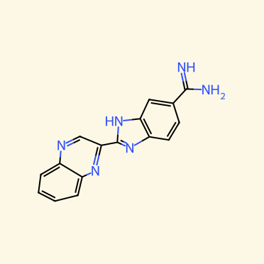 N=C(N)c1ccc2nc(-c3cnc4ccccc4n3)[nH]c2c1